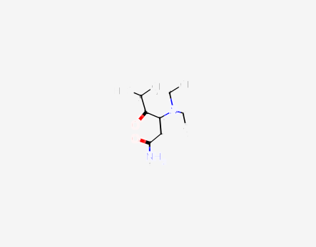 CCN(CC)C(CC(N)=O)C(=O)C(C)C